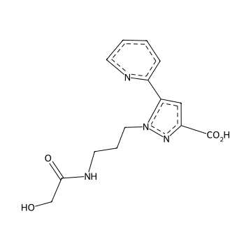 O=C(CO)NCCCn1nc(C(=O)O)cc1-c1ccccn1